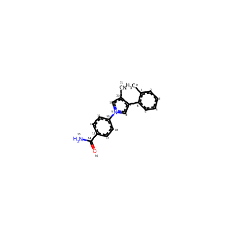 Cc1ccccc1-c1cn(-c2ccc(C(N)=O)cc2)cc1C#N